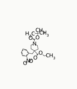 CCOC(=O)C1(Cc2ccccc2[N+](=O)[O-])CCN(C(=O)OC(C)(C)C)CC1